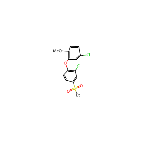 CCS(=O)(=O)c1ccc(Oc2cc(Cl)ccc2OC)c(Cl)c1